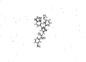 CC(=O)c1cccc(NC(=O)Cc2cc(-c3ccc4ncnn4c3)n(-c3cccc(C)n3)n2)c1